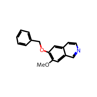 COc1cc2cnccc2cc1OCc1ccccc1